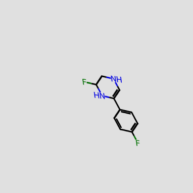 Fc1ccc(C2=CNCC(F)N2)cc1